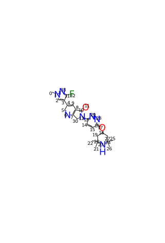 Cn1cc(-c2cnc3c(c2)C(=O)N(c2ccc(OC4CC(C)(C)NC(C)(C)C4)nn2)C3)c(F)n1